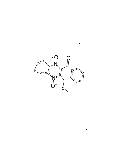 CSCc1c(C(=O)c2ccccc2)[n+]([O-])c2ccccc2[n+]1[O-]